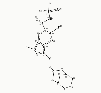 Cc1nn(CCC2CC3CCCC(C3)C2)c2cc(F)c(C(=O)NS(C)(=O)=O)cc12